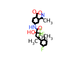 Cc1ccc(F)cc1C(C)(C)CC(O)(C(=O)Nc1ccc2c(=O)onc(C)c2c1)C(F)(F)F